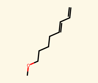 C=CC=CCCCCOC